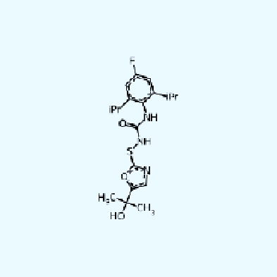 CC(C)c1cc(F)cc(C(C)C)c1NC(=O)NSc1ncc(C(C)(C)O)o1